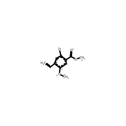 C=Cc1cc(Cl)c(C(=O)OC)cc1OC